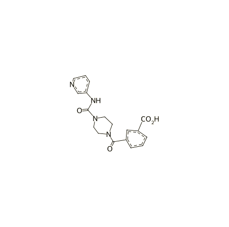 O=C(O)c1cccc(C(=O)N2CCN(C(=O)Nc3cccnc3)CC2)c1